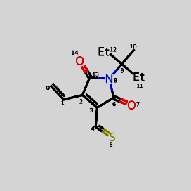 C=CC1=C(C=S)C(=O)N(C(C)(CC)CC)C1=O